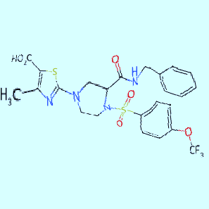 Cc1nc(N2CCN(S(=O)(=O)c3ccc(OC(F)(F)F)cc3)C(C(=O)NCc3ccccc3)C2)sc1C(=O)O